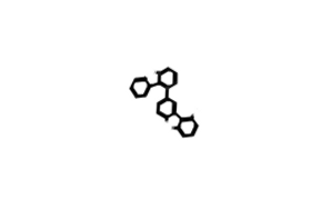 Brc1cccc2oc3ccc(-c4cccc5oc6ccccc6c45)cc3c12